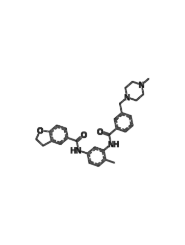 Cc1ccc(NC(=O)c2ccc3c(c2)CCO3)cc1NC(=O)c1cccc(CN2CCN(C)CC2)c1